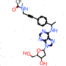 CC(Nc1ncnc2c1ncn2[C@H]1CC(O)[C@@H](CO)O1)c1ccc(C#CCNC(=O)C(F)(F)F)cc1